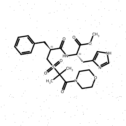 COC(=O)[C@H](Cc1c[nH]cn1)NC(=O)[C@H](Cc1ccccc1)CS(=O)(=O)C(C)(C)C(=O)N1CCOCC1